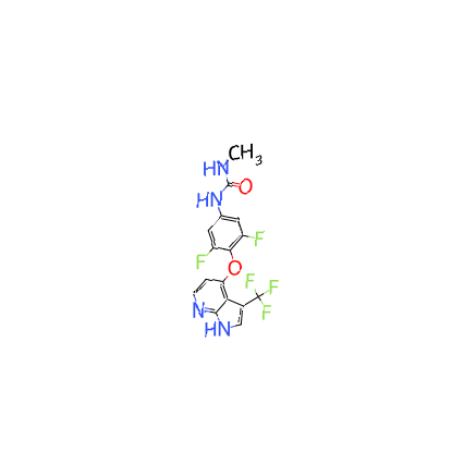 CNC(=O)Nc1cc(F)c(Oc2ccnc3[nH]cc(C(F)(F)F)c23)c(F)c1